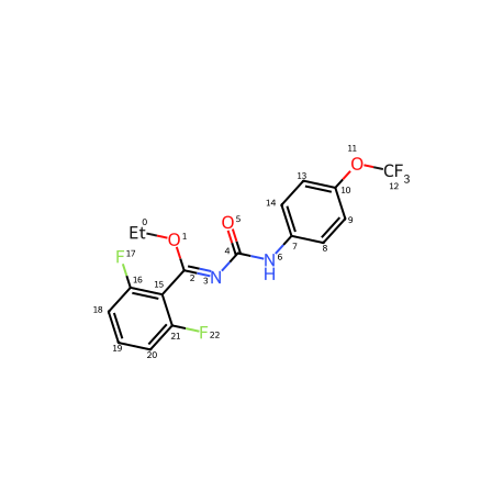 CCO/C(=N\C(=O)Nc1ccc(OC(F)(F)F)cc1)c1c(F)cccc1F